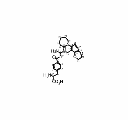 NC(=NC(=O)c1ccc(CC(N)C(=O)O)cc1)NCc1c(N2CCCCCC2)ccc2c1OCCO2